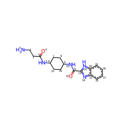 NCCC(=O)NC1CCC(NC(=O)c2nc3ccccc3[nH]2)CC1